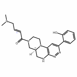 CN(C)C/C=C/C(=O)N1CCN2c3cc(-c4ccccc4O)nnc3NC[C@H]2C1